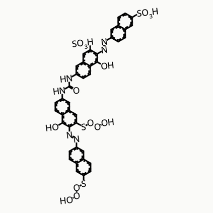 O=C(Nc1ccc2c(O)c(/N=N/c3ccc4cc(SOOO)ccc4c3)c(SOOO)cc2c1)Nc1ccc2c(O)c(/N=N/c3ccc4cc(S(=O)(=O)O)ccc4c3)c(S(=O)(=O)O)cc2c1